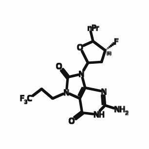 CCCC1OC(n2c(=O)n(CCC(F)(F)F)c3c(=O)[nH]c(N)nc32)C[C@H]1F